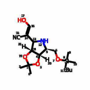 CC1(C)O[C@@H]2[C@@H](CO[Si](C)(C)C(C)(C)C)NC(/C(C#N)=C/O)[C@@H]2O1